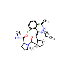 C=C/N=N\C(=C/C1[C@H](C(C)C)CC[C@]1(C)C(=O)N1CCCC1C(=O)NC)c1c(F)cccc1F